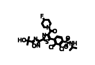 CC(C)NS(=O)(=O)c1ccc(-c2sc(-c3noc(C(C)(C)O)n3)nc2C(=O)N2CCC(F)CC2)c(Cl)c1Cl